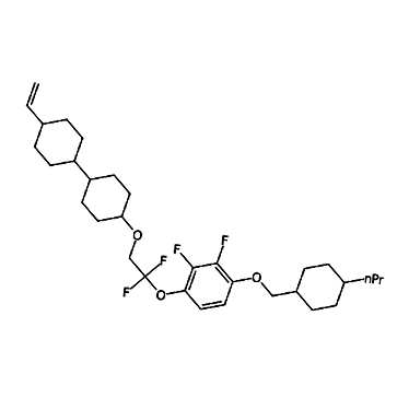 C=CC1CCC(C2CCC(OCC(F)(F)Oc3ccc(OCC4CCC(CCC)CC4)c(F)c3F)CC2)CC1